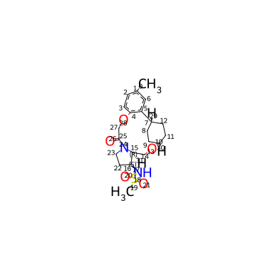 Cc1ccc2c(c1)[C@H]1CC[C@H](CC1)OC[C@H]1[C@@H](NS(C)(=O)=O)CCN1C(=O)CO2